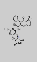 CCC(Nc1nc(N)nc(C)c1/C=C1\CC(=O)NC1=O)c1nc2cccc(C)c2c(=O)n1-c1ccccc1